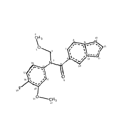 COCN(C(=O)c1ccc2nccn2c1)c1ccc(F)c(OC)c1